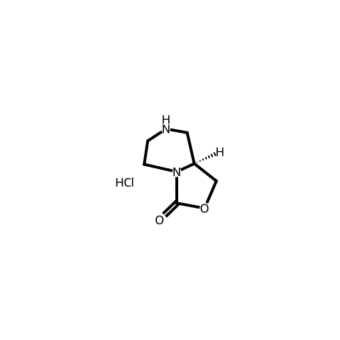 Cl.O=C1OC[C@@H]2CNCCN12